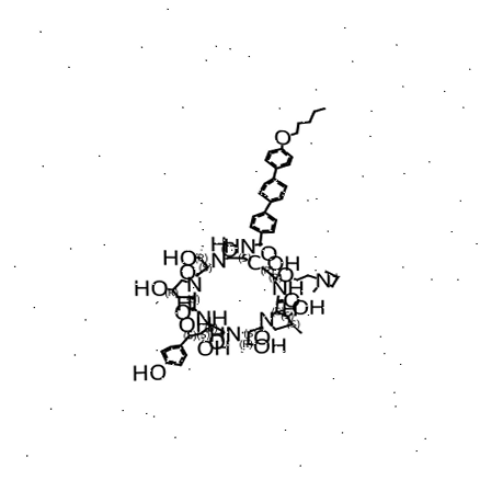 CCCCCOc1ccc(-c2ccc(-c3ccc(C(=O)N[C@H]4C[C@@H](O)[C@@H](OCC[N+]5(C)CCC5)NC(=O)[C@@H]5[C@@H](O)[C@@H](C)CN5C(=O)[C@H]([C@@H](C)O)NC(=O)[C@H]([C@H](O)[C@@H](O)c5ccc(O)cc5)NC(=O)[C@@H]5C[C@@H](O)CN5C(=O)[C@H]([C@@H](C)O)NC4=O)cc3)cc2)cc1